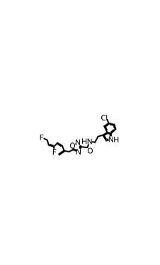 C=C(/C=C\C(F)=C/CF)Cc1nc(C(=O)NCCc2c[nH]c3ccc(Cl)cc23)no1